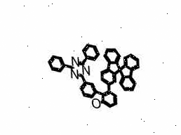 c1ccc(-c2nc(-c3ccccc3)nc(-c3ccc4oc5cccc(-c6ccc7c(c6)C6(c8ccccc8-c8ccccc86)c6ccccc6-7)c5c4c3)n2)cc1